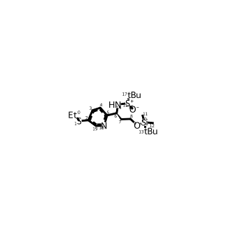 CCSc1ccc([C@H](CCO[Si](C)(C)C(C)(C)C)N[S+]([O-])C(C)(C)C)nc1